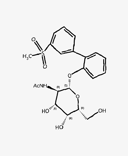 CC(=O)N[C@H]1[C@H](Oc2ccccc2-c2cccc(S(C)(=O)=O)c2)O[C@H](CO)[C@H](O)[C@@H]1O